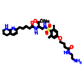 COC(=O)C(CNS(=O)(=O)c1c(C)cc(OCCCC(=O)NCCN)cc1C)NC(=O)CCCCc1ccc2c(n1)NCCC2